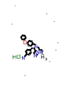 CCCCN(Cc1ccc(Oc2ccccc2)cc1)C(Cc1ccc(C#N)cc1)c1cnc[nH]1.Cl